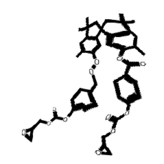 Cc1cc2c(cc1OOCc1ccc(OC(=O)OCC3CO3)cc1)C1(CC2(C)C)CC(C)(C)c2cc(C)c(OC(=O)c3ccc(OC(=O)OCC4CO4)cc3)cc21